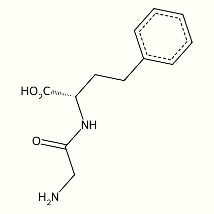 NCC(=O)N[C@@H](CCc1ccccc1)C(=O)O